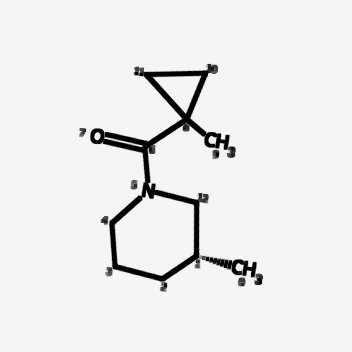 C[C@@H]1CCCN(C(=O)C2(C)CC2)C1